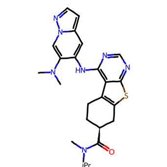 CC(C)N(C)C(=O)[C@H]1CCc2c(sc3ncnc(Nc4cc5ccnn5cc4N(C)C)c23)C1